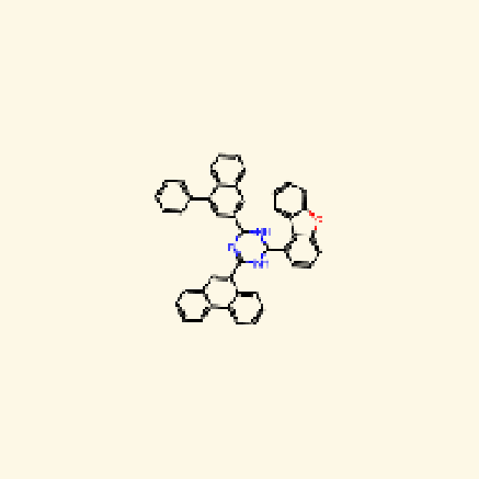 c1ccc(-c2cc(C3N=C(c4cc5ccccc5c5ccccc45)NC(c4cccc5oc6ccccc6c45)N3)cc3ccccc23)cc1